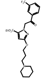 CCOC(=O)c1cc(OCCCN2CCCCC2)nn1CC(=O)c1cccc(C(F)(F)F)c1